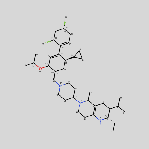 CC[C@@H]1NC2=C(CC1C(C)C)C(C)N(C1CCN(C[C@@H]3C[C@H](C4CC4)C(C4=CC[C@H](F)C[C@@H]4F)=CC3OC(C)C)CC1)CC2